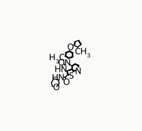 Cc1cc(OC2=CC=CC2C)ccc1N1C(=O)Nc2c(C(=O)NC3CCCOC3)sc3nccc1c23